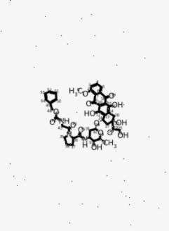 COc1cccc2c1C(=O)c1c(O)c3c(c(O)c1C2=O)C[C@@](O)(C(=O)CO)C[C@@H]3O[C@H]1C[C@H](NC(=O)C2CCCN2C(=O)CNC(=O)OCc2ccccc2)[C@H](O)[C@H](C)O1